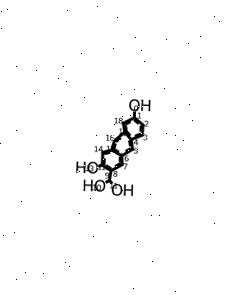 Oc1ccc2cc3cc(C(O)O)c(O)cc3cc2c1